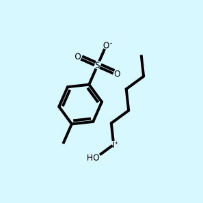 CCCCC[I+]O.Cc1ccc(S(=O)(=O)[O-])cc1